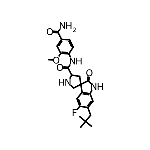 COc1cc(C(N)=O)ccc1NC(=O)C1CC2(CN1)C(=O)Nc1cc(CC(C)(C)C)c(F)cc12